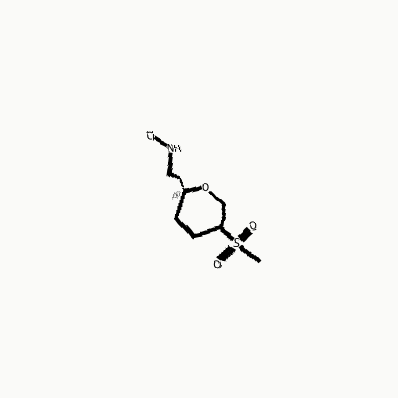 CS(=O)(=O)C1CC[C@@H](CNCl)OC1